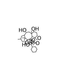 CC(=O)OC12COC1CC(O)C1(C)CC(O)C3CC(C)CCC(O)([C@@H](OC(O)C4CCCCC4)C12)C3(C)C